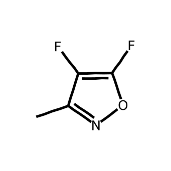 Cc1noc(F)c1F